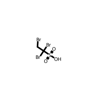 O=S(=O)(O)C(Br)(Br)CBr